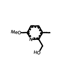 COc1ccc(C)c(CO)n1